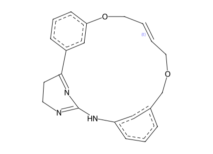 C1=C/COc2cccc(c2)C2=NC(=NCC2)Nc2cccc(c2)COC/1